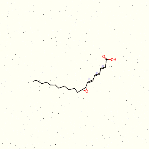 CCCCCCCCCCCC1OC1/C=C/C=C/C=C/C(=O)O